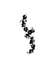 COc1ccc(OC2CCN(c3nnc(C(=O)NCc4nn(C)cc4-c4cc5c(cc4OC4CCN(c6nnc(C(=O)NCc7ccncc7)cc6C)CC4)C(=O)N(C)C5)cc3C)CC2)cn1